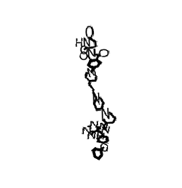 Nc1ncnc2c1c(-c1ccc(Oc3ccccc3)cc1)nn2C1CCCN(C2CCN(CCCC3CCN(c4ccc5c(c4)C(=O)N(C4CCC(=O)NC4=O)C5=O)CC3)CC2)C1